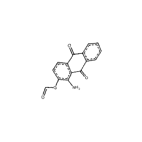 Nc1c(OC=O)ccc2c1C(=O)c1ccccc1C2=O